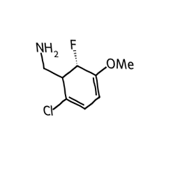 COC1=CC=C(Cl)C(CN)[C@@H]1F